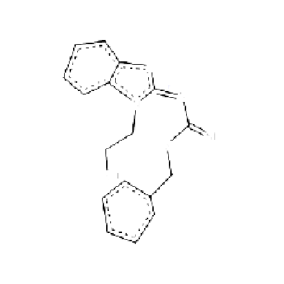 N=C(/N=c1/sc2ccccc2n1CCS)SCc1ccccc1